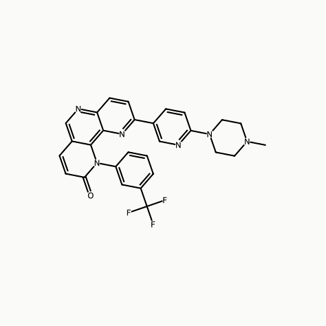 CN1CCN(c2ccc(-c3ccc4ncc5ccc(=O)n(-c6cccc(C(F)(F)F)c6)c5c4n3)cn2)CC1